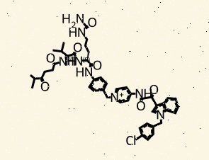 CC(C)C(=O)CCC(=O)N[C@H](C(=O)N[C@@H](CCCNC(N)=O)C(=O)Nc1ccc(C[n+]2ccc(NC(=O)C(=O)c3cn(Cc4ccc(Cl)cc4)c4ccccc34)cc2)cc1)C(C)C